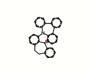 O=C1c2ccccc2CCc2cccc(N3c4ccccc4-c4ccccc4-c4ccccc43)c21